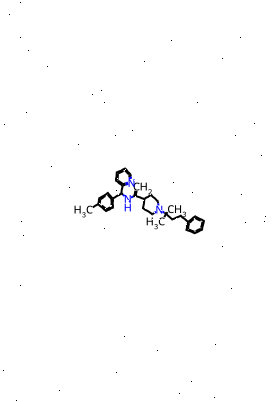 C=C(NC(c1ccc(C)cc1)c1ccccn1)C1CCN(C(C)(C)CCc2ccccc2)CC1